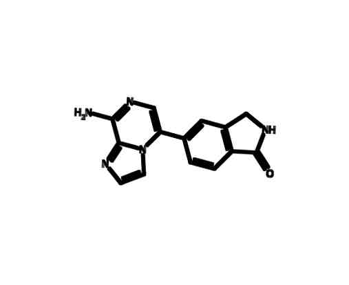 Nc1ncc(-c2ccc3c(c2)CNC3=O)n2ccnc12